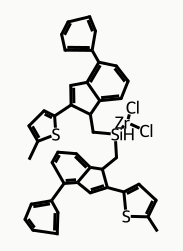 Cc1ccc(C2=Cc3c(-c4ccccc4)cccc3C2C[SiH](CC2C(c3ccc(C)s3)=Cc3c(-c4ccccc4)cccc32)[Zr]([Cl])[Cl])s1